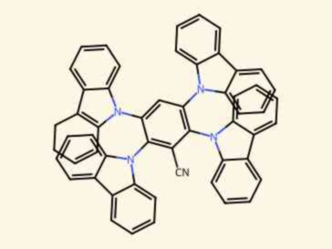 N#Cc1c(-n2c3ccccc3c3ccccc32)c(-n2c3c(c4ccccc42)CCC=C3)cc(-n2c3ccccc3c3ccccc32)c1-n1c2ccccc2c2ccccc21